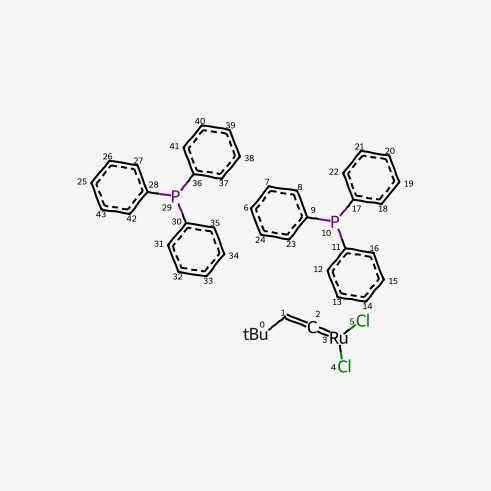 CC(C)(C)C=[C]=[Ru]([Cl])[Cl].c1ccc(P(c2ccccc2)c2ccccc2)cc1.c1ccc(P(c2ccccc2)c2ccccc2)cc1